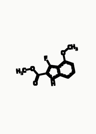 COC(=O)c1[nH]c2cccc(OC)c2c1F